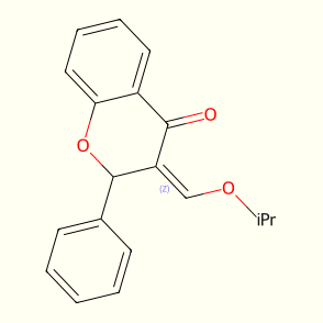 CC(C)O/C=C1\C(=O)c2ccccc2OC1c1ccccc1